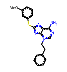 COc1cccc(Sc2nc3c(N)ncn(CCc4ccccc4)c-3n2)c1